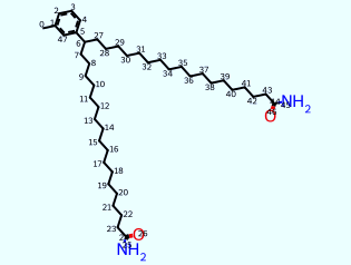 Cc1cccc(C(CCCCCCCCCCCCCCCCCC(N)=O)CCCCCCCCCCCCCCCCCC(N)=O)c1